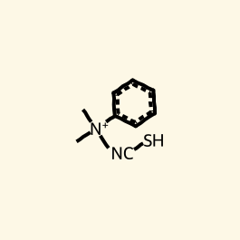 C[N+](C)(C)c1ccccc1.N#CS